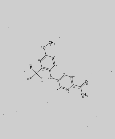 COc1ccc(Oc2cnc(C(C)=O)nc2)c(C(F)(F)F)c1